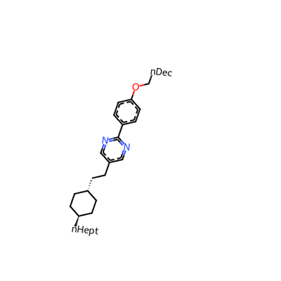 CCCCCCCCCCCOc1ccc(-c2ncc(CC[C@H]3CC[C@H](CCCCCCC)CC3)cn2)cc1